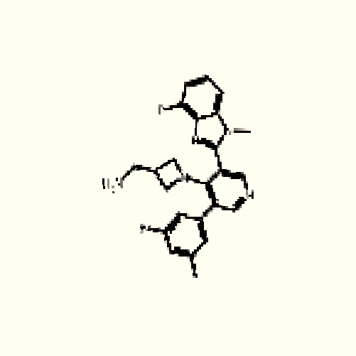 Cc1cc(F)cc(-c2cncc(-c3nc4c(F)cccc4n3C)c2N2CC(CN)C2)c1